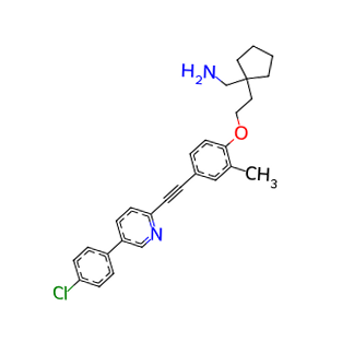 Cc1cc(C#Cc2ccc(-c3ccc(Cl)cc3)cn2)ccc1OCCC1(CN)CCCC1